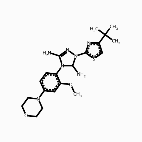 COc1cc(N2CCOCC2)ccc1N1C(N)=NN(c2nc(C(C)(C)C)cs2)C1N